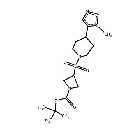 Cn1cncc1C1CCN(S(=O)(=O)C2CN(C(=O)OC(C)(C)C)C2)CC1